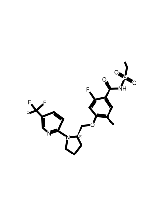 CCS(=O)(=O)NC(=O)c1cc(C)c(OC[C@H]2CCCN2c2ccc(C(F)(F)F)cn2)cc1F